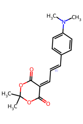 CN(C)c1ccc(/C=C/C=C2C(=O)OC(C)(C)OC2=O)cc1